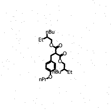 CCCCC(CC)COC(=O)C(Cc1ccc(OCCC)cc1)C(=O)OCC(CC)CCCC